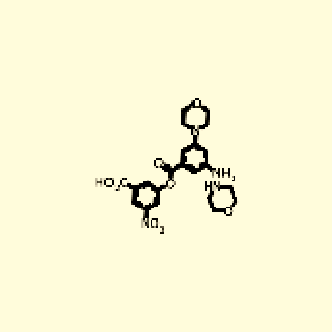 C1COCCN1.Nc1cc(C(=O)Oc2cc(C(=O)O)cc([N+](=O)[O-])c2)cc(N2CCOCC2)c1